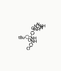 CC(C)(C)C1CCC(C(NC(=O)Nc2ccc(Cl)cc2)c2ccc(C(=O)Nc3ncnc4[nH]ncc34)cc2)CC1